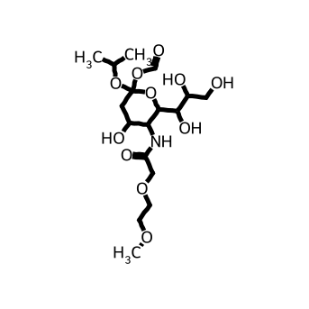 COCCOCC(=O)NC1C(O)CC(OC=O)(OC(C)C)OC1C(O)C(O)CO